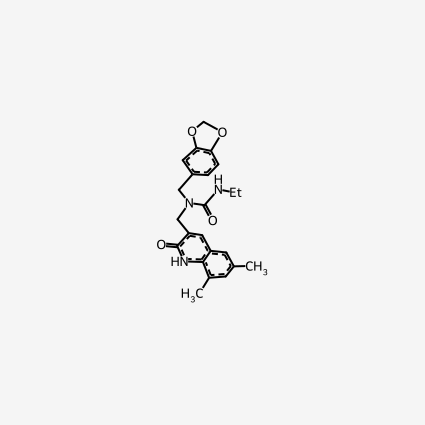 CCNC(=O)N(Cc1ccc2c(c1)OCO2)Cc1cc2cc(C)cc(C)c2[nH]c1=O